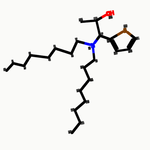 CCCCCCCCN(CCCCCCCC)C(c1cccs1)C(C)O